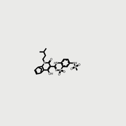 CC(C)CCN1C(=O)C(C2=NS(=O)(=O)c3cc(NS(C)(=O)=O)ccc3N2)=C(O)C2C3C=CC(C3)C21